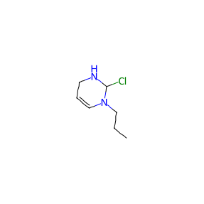 CCCN1C=CCNC1Cl